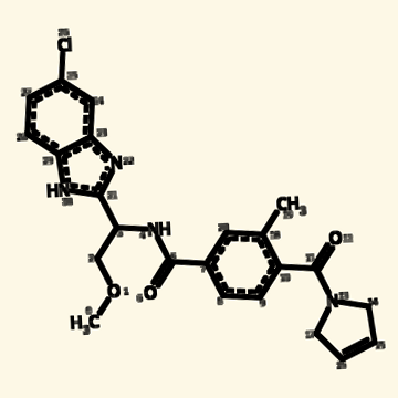 COCC(NC(=O)c1ccc(C(=O)N2CC=CC2)c(C)c1)c1nc2cc(Cl)ccc2[nH]1